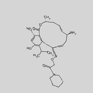 CC(C)c1c(O)cc(O)c2c1CC(=NOCC(=O)N1CCCCC1)/C=C/C[C@H](N)/C=C/C[C@@H](C)OC2=O